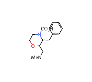 CNCC1OCCN(C(=O)O)C1Cc1ccccc1